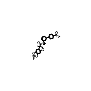 COC(=O)c1ccc(-c2cccc(NC(=O)C3(C)COc4cc5c(cc43)OC(F)(F)O5)c2)cc1